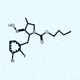 CCCCOC(=O)N1CC(C)C(=NO)C1Cc1cccc(Br)c1F